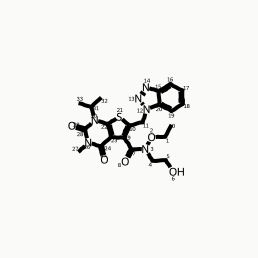 CCON(CCO)C(=O)c1c(Cn2nnc3ccccc32)sc2c1c(=O)n(C)c(=O)n2C(C)C